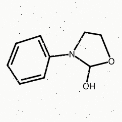 OC1OCCN1c1ccccc1